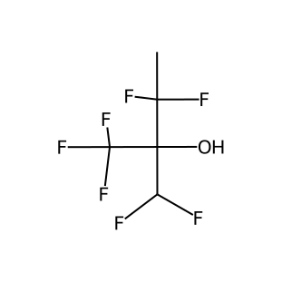 CC(F)(F)C(O)(C(F)F)C(F)(F)F